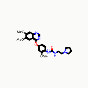 COc1cc(Oc2ncnc3cc(OC)c(OC)cc23)ccc1NC(=O)NCCN1CCCC1